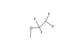 COC(F)(F)[C](F)F